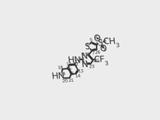 CS(=O)(=O)c1csc(-c2nc(Nc3ccc4c(c3)CNCC4)ncc2C(F)(F)F)c1